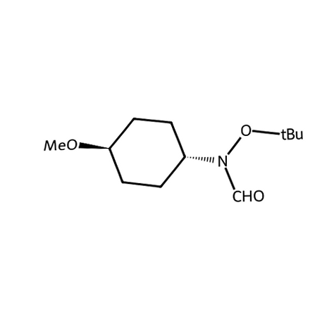 CO[C@H]1CC[C@H](N(C=O)OC(C)(C)C)CC1